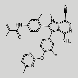 C=C(C)C(=O)Nc1ccc(-c2c(-c3ccc(Oc4nccc(C)n4)c(F)c3)c3c(N)ncc(C#N)c3n2C)c(C)c1